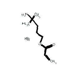 Br.C=CC(=O)OCCCC(C)(C)N